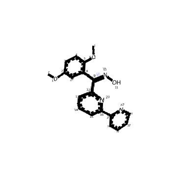 COc1ccc(OC)c(/C(=N/O)c2cccc(-c3ccccn3)n2)c1